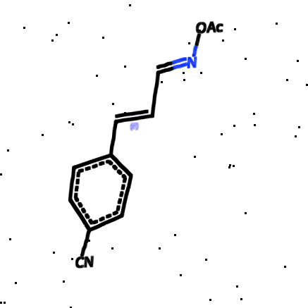 CC(=O)ON=C/C=C/c1ccc(C#N)cc1